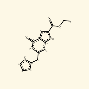 CCOC(=O)c1cc2c(=O)[nH]c(Cc3cccs3)nc2s1